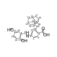 O=C(O)c1ccc(NCc2cc(O)ccc2O)cc1CC12CC3CC(CC(C3)C1)C2